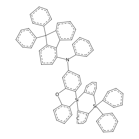 c1ccc(N(c2ccc3c(c2)Oc2ccccc2[Si]32c3ccccc3[Si](c3ccccc3)(c3ccccc3)c3ccccc32)c2cccc3c2-c2ccccc2C3(c2ccccc2)c2ccccc2)cc1